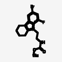 CC(C)(C)OC(=O)NCCn1c2c(c3cc(Br)cc(F)c31)CCCC2